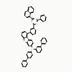 c1ccc(-c2ccc(N(c3cccc(-c4ccccc4)c3)c3ccc4c(c3)oc3cccc(-c5cccc(-c6nc(-c7ccccc7)nc(-c7cccc8ccccc78)n6)c5)c34)cc2)cc1